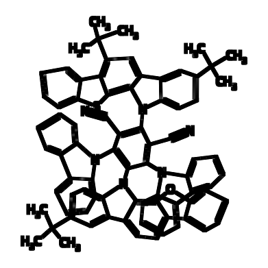 CC(C)(C)c1ccc2c(c1)c1ccc3c4ccccc4oc3c1n2-c1c(-n2c3ccccc3c3ccccc32)c(C#N)c(-n2c3ccc(C(C)(C)C)cc3c3cc(C(C)(C)C)c4c5ccccc5sc4c32)c(C#N)c1-n1c2ccccc2c2ccccc21